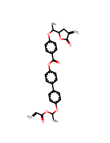 C=CC(=O)OC(CCCC)Oc1ccc(-c2ccc(OC(=O)c3ccc(OC(CCCC)C4CC(=C)C(=O)O4)cc3)cc2)cc1